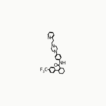 O=C(Nc1ccc(N2CCN(CCc3ccccn3)CC2)cc1)C1=C(c2ccc(C(F)(F)F)cc2)CCCC1